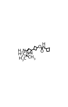 CC(C)(C)n1nc(C2CC(OC(=O)NC3CCC3)C2)cc1N